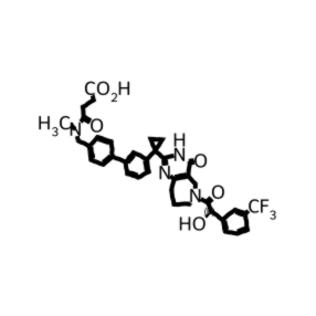 CN(Cc1ccc(-c2cccc(C3(c4nc5c(c(=O)[nH]4)CN(C(=O)[C@H](O)c4cccc(C(F)(F)F)c4)CCC5)CC3)c2)cc1)C(=O)CCC(=O)O